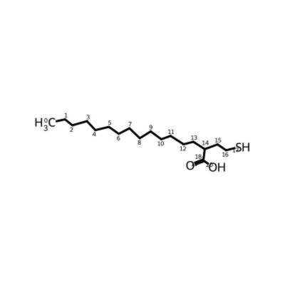 CCCCCCCCCCCCCCC(CCS)C(=O)O